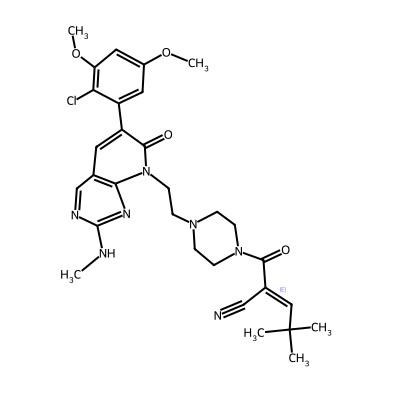 CNc1ncc2cc(-c3cc(OC)cc(OC)c3Cl)c(=O)n(CCN3CCN(C(=O)/C(C#N)=C/C(C)(C)C)CC3)c2n1